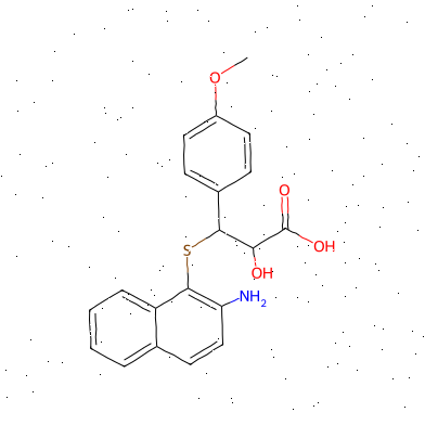 COc1ccc(C(Sc2c(N)ccc3ccccc23)C(O)C(=O)O)cc1